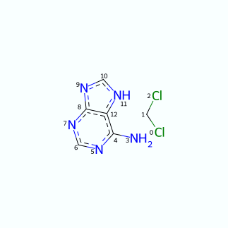 ClCCl.Nc1ncnc2nc[nH]c12